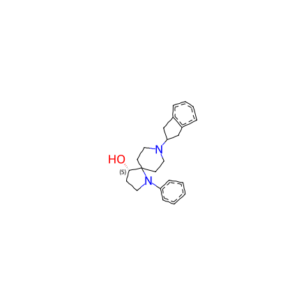 O[C@H]1CCN(c2ccccc2)C12CCN(C1Cc3ccccc3C1)CC2